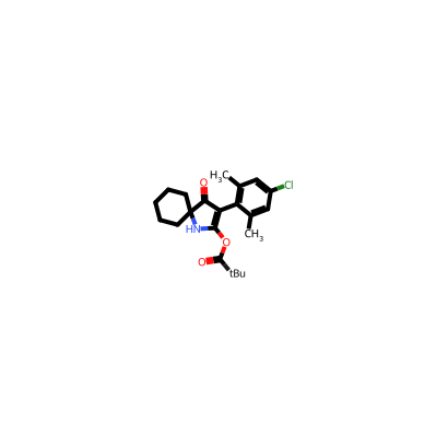 Cc1cc(Cl)cc(C)c1C1=C(OC(=O)C(C)(C)C)NC2(CCCCC2)C1=O